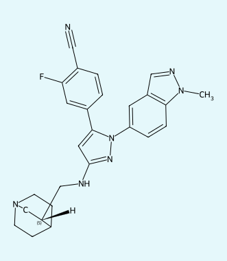 Cn1ncc2cc(-n3nc(NC[C@H]4CN5CCC4CC5)cc3-c3ccc(C#N)c(F)c3)ccc21